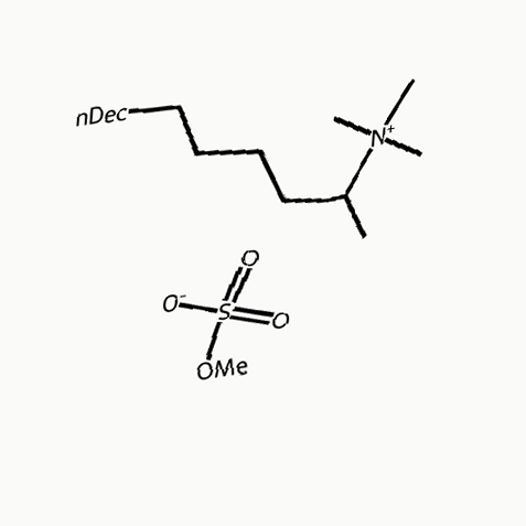 CCCCCCCCCCCCCCC(C)[N+](C)(C)C.COS(=O)(=O)[O-]